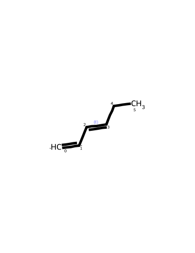 [CH]=[C]/C=C/CC